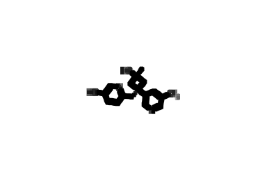 C[C@]1(O)C[C@](Cc2ccc(O)cn2)(c2cncc(C(F)(F)F)c2)C1